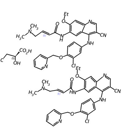 CCOc1cc2ncc(C#N)c(Nc3ccc(OCc4ccccn4)c(Cl)c3)c2cc1NC(=O)/C=C/CN(C)C.CCOc1cc2ncc(C#N)c(Nc3ccc(OCc4ccccn4)c(Cl)c3)c2cc1NC(=O)/C=C/CN(C)C.O=C(O)C[C@H](O)C(=O)O